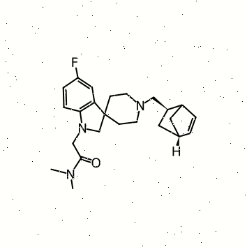 CN(C)C(=O)CN1CC2(CCN(C[C@@H]3C[C@H]4C=CC3C4)CC2)c2cc(F)ccc21